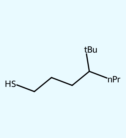 CCCC(CCCS)C(C)(C)C